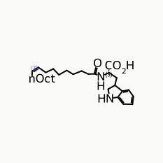 CCCCCCCC/C=C\CCCCCCCC(=O)N[C@@H](CC1CNc2ccccc21)C(=O)O